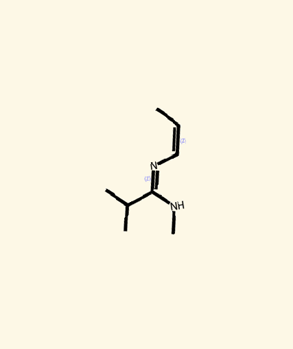 C/C=C\N=C(/NC)C(C)C